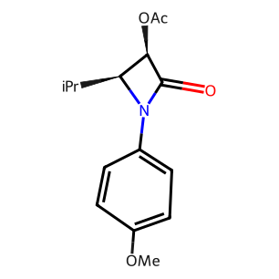 COc1ccc(N2C(=O)[C@H](OC(C)=O)[C@@H]2C(C)C)cc1